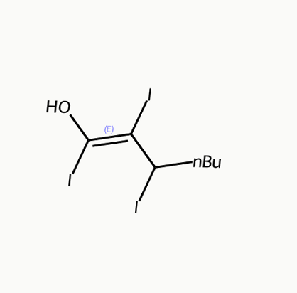 CCCCC(I)/C(I)=C(/O)I